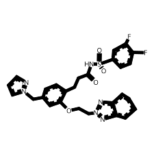 O=C(CCc1ccc(Cn2cccn2)cc1OCCn1nc2ccccc2n1)NS(=O)(=O)c1ccc(F)c(F)c1